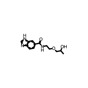 CC(O)COCCNC(=O)c1ccc2nc[nH]c2c1